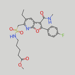 CCc1cc2c(C(=O)NC)c(-c3ccc(F)cc3)oc2nc1CS(=O)(=O)NCCCCC(=O)OC